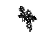 COc1ccc(Cn2nc(-c3cnn(C)c3)c3c(NC4CCCCC4)nc(Nc4ccc(N5CCOCC5)cc4OC)nc32)cc1